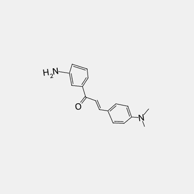 CN(C)c1ccc(/C=C/C(=O)c2cccc(N)c2)cc1